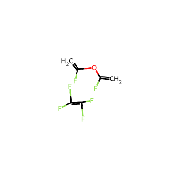 C=C(F)OC(=C)F.FC(F)=C(F)F